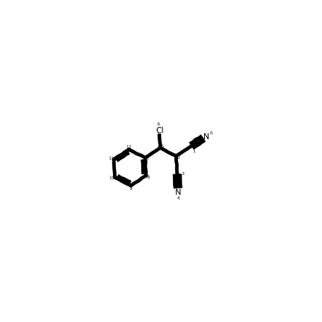 N#CC(C#N)C(Cl)c1ccccc1